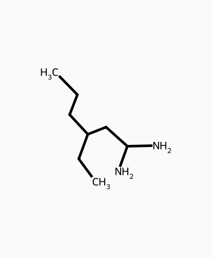 CCCC(CC)CC(N)N